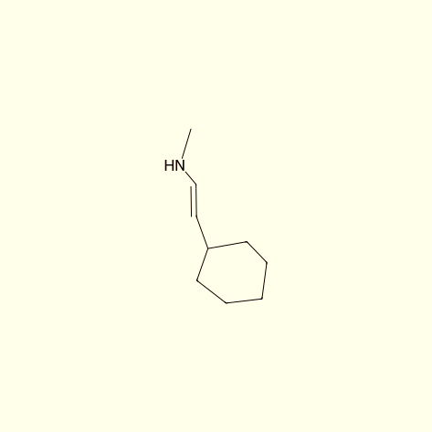 CNC=CC1CCCCC1